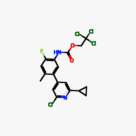 Cc1cc(F)c(NC(=O)OCC(Cl)(Cl)Cl)cc1-c1cc(Cl)nc(C2CC2)c1